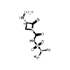 CC(=O)N(C)S(=O)(=O)NC(=O)N1C[C@H](NC(=O)O)C1=O